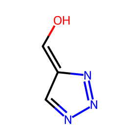 OC=C1C=NN=N1